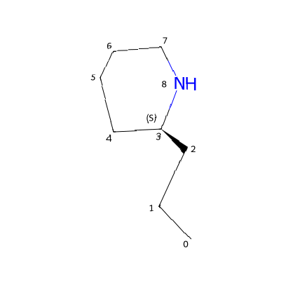 CCC[C@H]1CCCCN1